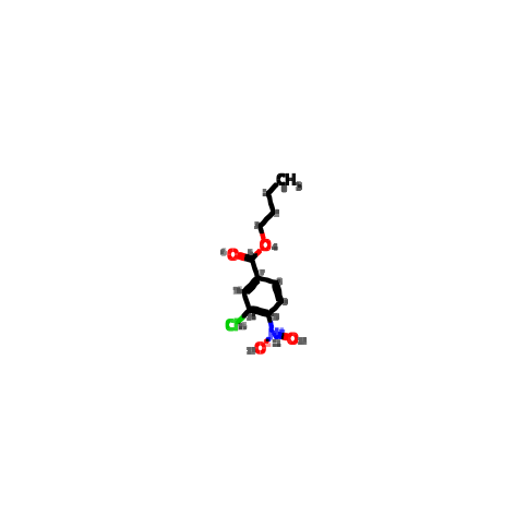 CCCCOC(=O)c1ccc([N+](=O)[O-])c(Cl)c1